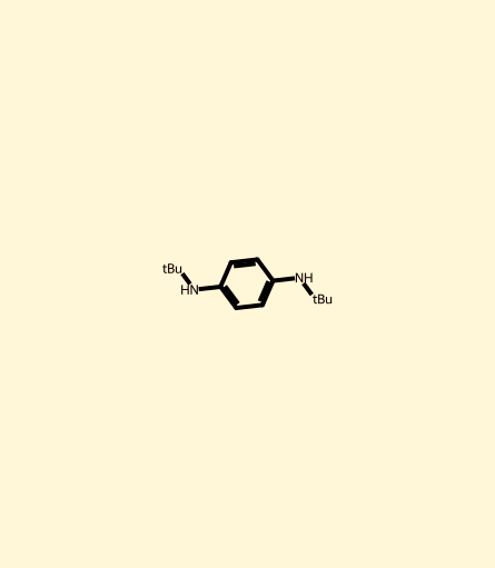 CC(C)(C)Nc1ccc(NC(C)(C)C)cc1